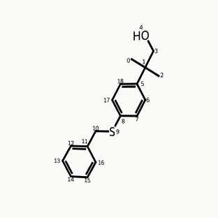 CC(C)(CO)c1ccc(SCc2ccccc2)cc1